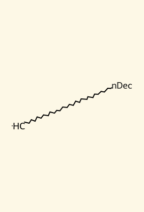 [CH]=CCCCCCCCCCCCCCCCCCCCCCCCCCCCCCCCCCCCCC